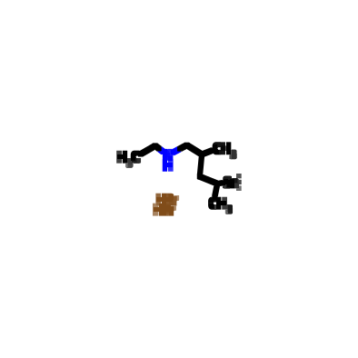 Br.Br.CCNCC(C)C[CH](C)[Sn]